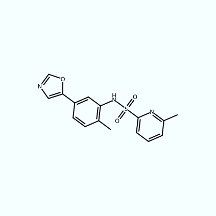 Cc1cccc(S(=O)(=O)Nc2cc(-c3cnco3)ccc2C)n1